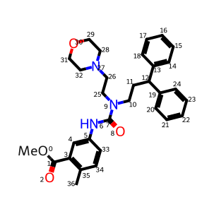 COC(=O)c1cc(NC(=O)N(CCC(c2ccccc2)c2ccccc2)CCN2CCOCC2)ccc1C